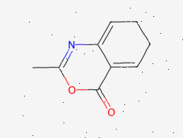 Cc1nc2c(c(=O)o1)=CCCC=2